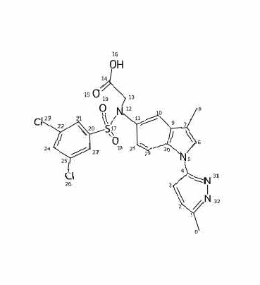 Cc1ccc(-n2cc(C)c3cc(N(CC(=O)O)S(=O)(=O)c4cc(Cl)cc(Cl)c4)ccc32)nn1